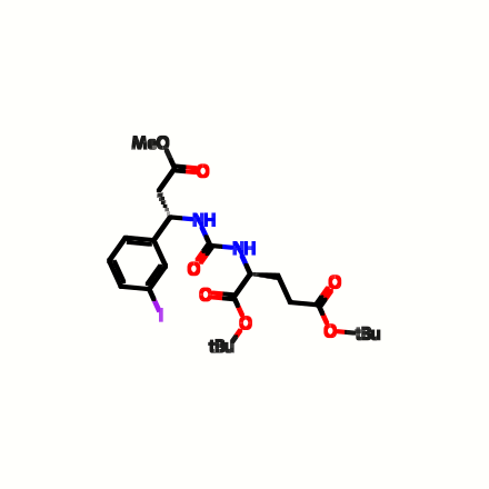 COC(=O)C[C@H](NC(=O)N[C@@H](CCC(=O)OC(C)(C)C)C(=O)OC(C)(C)C)c1cccc(I)c1